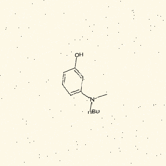 CCCCN(C)c1cccc(O)c1